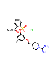 COC(=O)c1ccccc1S(=O)(=O)Oc1cc(C)cc(OCC2CCN(C(=N)N)CC2)c1.Cl